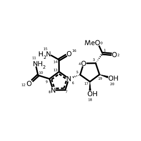 COC(=O)[C@H]1O[C@@H](n2cnc(C(N)=O)c2C(N)=O)[C@H](O)[C@@H]1O